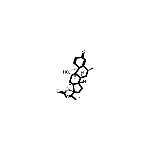 CC(=O)O[C@]1(C(C)=O)[C@@H](C)C[C@H]2[C@@H]3C[C@H](C)C4=CC(=O)C=C[C@]4(C)[C@@]3(F)[C@@H](O)C[C@@]21C